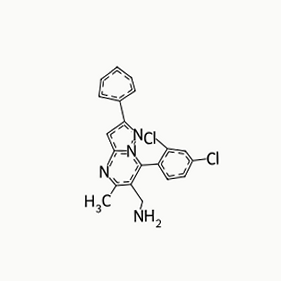 Cc1nc2cc(-c3ccccc3)nn2c(-c2ccc(Cl)cc2Cl)c1CN